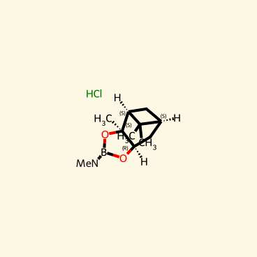 CNB1O[C@@H]2C[C@@H]3C[C@@H](C3(C)C)[C@]2(C)O1.Cl